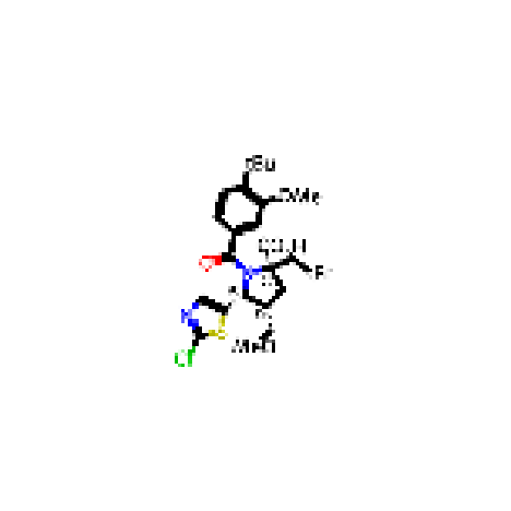 COC[C@H]1C[C@@](CC(C)C)(C(=O)O)N(C(=O)c2ccc(C(C)(C)C)c(OC)c2)[C@H]1c1cnc(Cl)s1